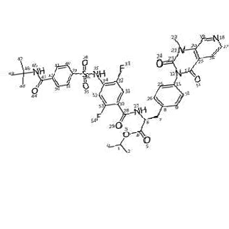 CC(C)OC(=O)[C@H](Cc1ccc(-n2c(=O)c3ccncc3n(C)c2=O)cc1)NC(=O)c1cc(F)c(NS(=O)(=O)c2ccc(C(=O)NC(C)(C)C)cc2)cc1F